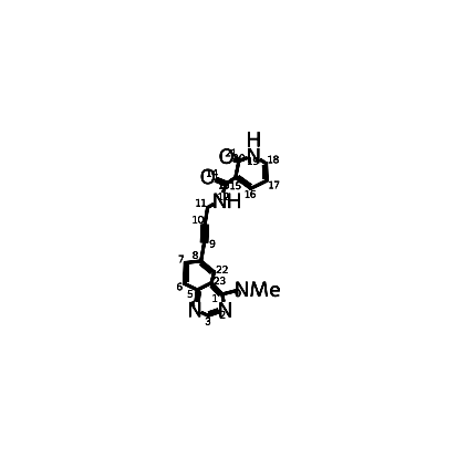 CNc1ncnc2ccc(C#CCNC(=O)c3ccc[nH]c3=O)cc12